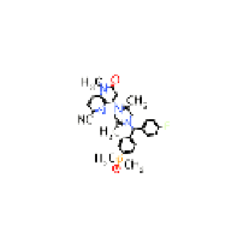 C[C@@H]1CN(c2cc(=O)n(C)c3ccc(C#N)nc23)[C@@H](C)CN1C(c1ccc(F)cc1)c1ccc(P(C)(C)=O)cc1